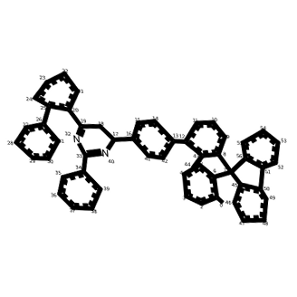 Cc1ccccc1C1(c2cccc(-c3ccc(C4CC(c5ccccc5-c5ccccc5)=NC(c5ccccc5)=N4)cc3)c2C)c2ccccc2-c2ccccc21